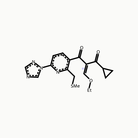 CCO/C=C(/C(=O)c1ccc(-n2cncn2)nc1CSC)C(=O)C1CC1